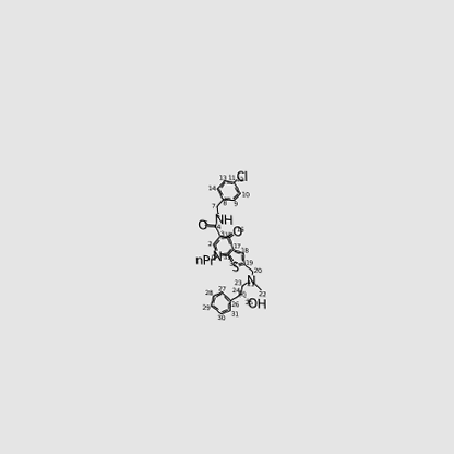 CCCn1cc(C(=O)NCc2ccc(Cl)cc2)c(=O)c2cc(CN(C)C[C@H](O)c3ccccc3)sc21